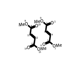 COC(=O)C=CC(=O)OC.COC(=O)C=CC(=O)OC